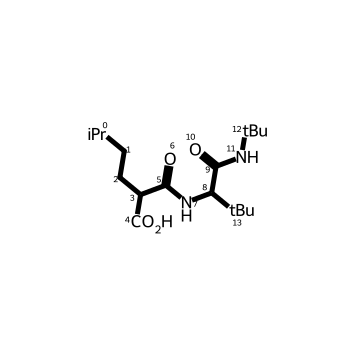 CC(C)CCC(C(=O)O)C(=O)NC(C(=O)NC(C)(C)C)C(C)(C)C